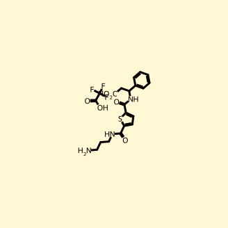 NCCCNC(=O)c1ccc(C(=O)NC(CC(=O)O)c2ccccc2)s1.O=C(O)C(F)(F)F